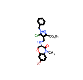 CCOC(=O)c1nn(Cc2ccccc2)c(Cl)c1CN[C@H]1COc2cc(Br)ccc2N(C)C1=O